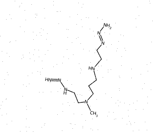 CN(CCCNCCN=NN)CCNN=N